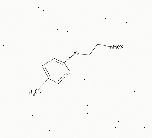 CCCCCCC[CH2][Al][c]1ccc(C)cc1